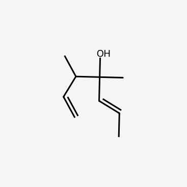 C=CC(C)C(C)(O)C=CC